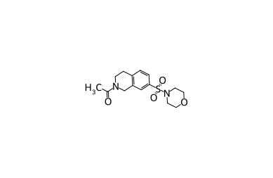 CC(=O)N1CCc2ccc(S(=O)(=O)N3CCOCC3)cc2C1